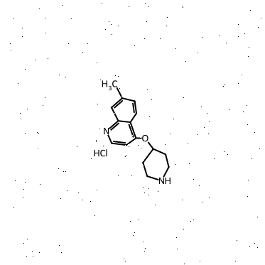 Cc1ccc2c(OC3CCNCC3)ccnc2c1.Cl